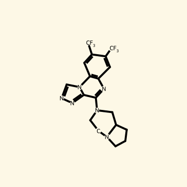 FC(F)(F)c1cc2nc(N3CCN4CCCC4C3)c3nncn3c2cc1C(F)(F)F